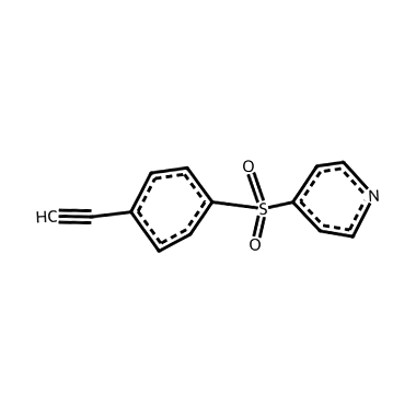 C#Cc1ccc(S(=O)(=O)c2ccncc2)cc1